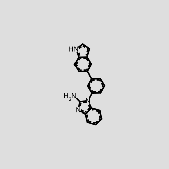 Nc1nc2ccccc2n1-c1cccc(-c2ccc3[nH]ccc3c2)c1